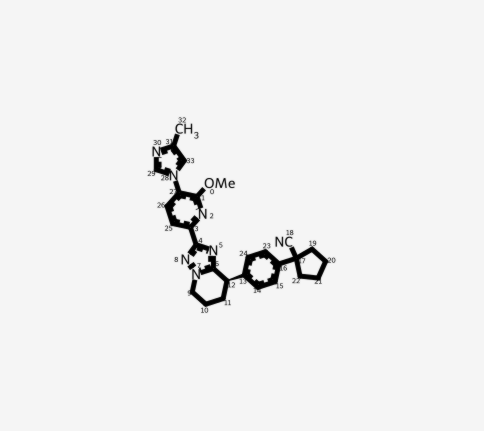 COc1nc(-c2nc3n(n2)CCC[C@@H]3c2ccc(C3(C#N)CCCC3)cc2)ccc1-n1cnc(C)c1